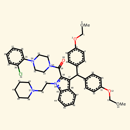 COCOc1ccc(C(c2ccc(OCOC)cc2)c2c(C(=O)N3CCN(c4ccccc4Cl)CC3)n(CCN3CCCCC3)c3ccccc23)cc1